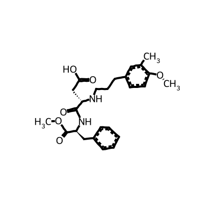 COC(=O)[C@H](Cc1ccccc1)NC(=O)[C@H](CC(=O)O)NCCCc1ccc(OC)c(C)c1